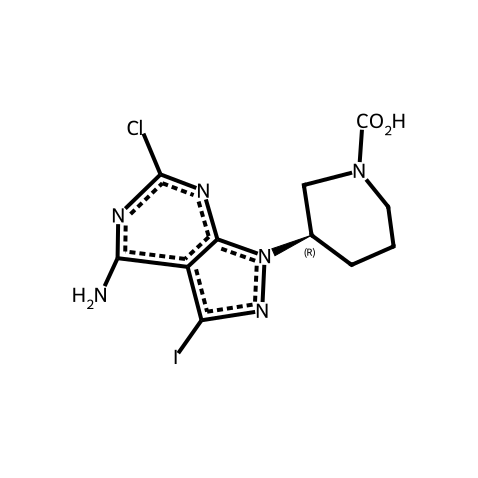 Nc1nc(Cl)nc2c1c(I)nn2[C@@H]1CCCN(C(=O)O)C1